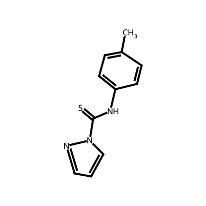 Cc1ccc(NC(=S)n2cccn2)cc1